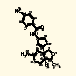 C[C@H]1OC[C@]2(c3cc(NC(=O)c4ccc(C#N)cn4)cs3)N=C(N)SC[C@H]12